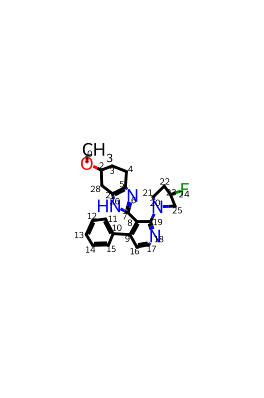 COC1CCc2nc(-c3c(-c4ccccc4)ccnc3N3CCC(F)C3)[nH]c2C1